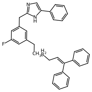 BCC=C(c1ccccc1)c1ccccc1.CCc1cc(F)cc(Cc2ncc(-c3ccccc3)[nH]2)c1